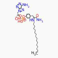 CCCCCCCCCCCCCCCCN[C@@H](Cc1ccc(OP(=O)(O)CO[C@H](CO)Cn2cnc3c(N)ncnc32)cc1)C(N)=O